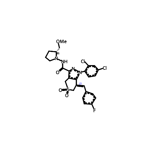 COC[C@H]1CCCN1NC(=O)c1nn(-c2ccc(Cl)cc2Cl)c2c1CS(=O)(=O)C/C2=C\c1ccc(F)cc1